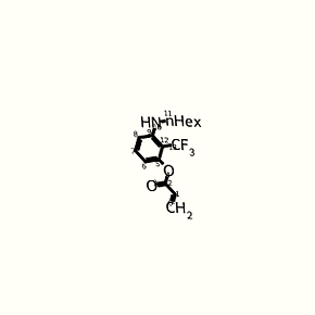 C=CC(=O)Oc1cccc(NCCCCCC)c1C(F)(F)F